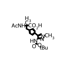 CC(=O)NC(C)(Cc1ccc(-c2cn(C)nc2NC(=O)OC(C)(C)C)cc1)C(=O)O